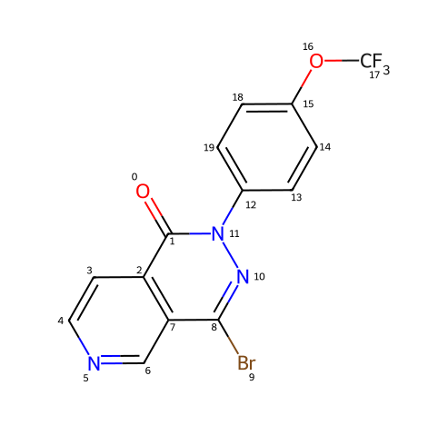 O=c1c2ccncc2c(Br)nn1-c1ccc(OC(F)(F)F)cc1